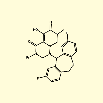 CC1CN2C(=C(O)C1=O)C(=O)N(C(C)C)CN2C1c2cc(F)ccc2CSc2ccc(F)cc21